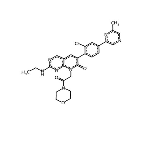 CCNc1ncc2cc(-c3ccc(-c4cncc(C)n4)cc3Cl)c(=O)n(CC(=O)N3CCOCC3)c2n1